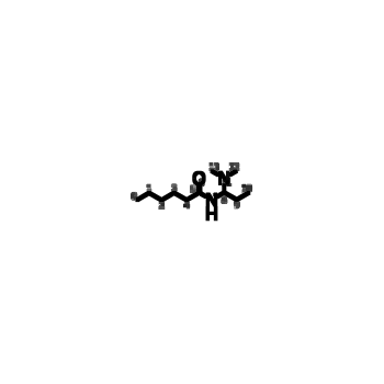 CCCCCC(=O)NC(CC)N(C)C